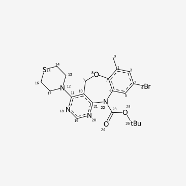 Cc1cc(Br)cc2c1OCc1c(N3CCSCC3)ncnc1N2C(=O)OC(C)(C)C